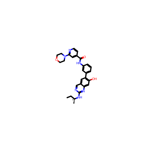 CC[C@H](C)Nc1ncc2cc(-c3cccc(NC(=O)c4ccnc(N5CCOCC5)c4)c3)c(O)cc2n1